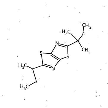 CCC(C)c1nc2sc(C(C)(C)CC)nc2s1